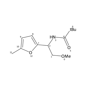 COCC(NC(=O)C(C)(C)C)c1ccc(C)o1